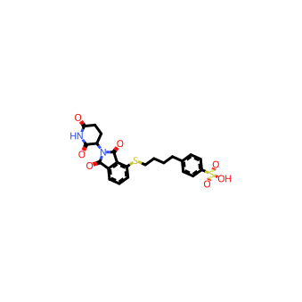 O=C1CCC(N2C(=O)c3cccc(SCCCCc4ccc(S(=O)(=O)O)cc4)c3C2=O)C(=O)N1